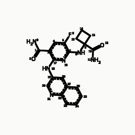 NC(=O)c1cc(F)c(NC2(C(N)=O)CCC2)nc1Nc1cnc2ccccc2c1